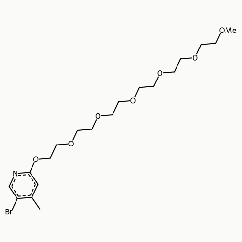 COCCOCCOCCOCCOCCOCCOc1cc(C)c(Br)cn1